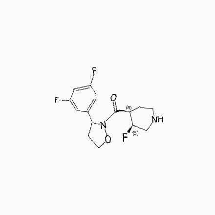 O=C([C@H]1CCNC[C@H]1F)N1OCCC1c1cc(F)cc(F)c1